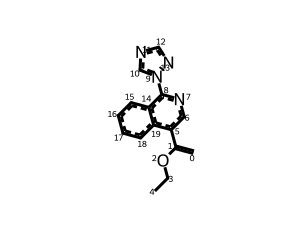 C=C(OCC)c1cnc(-n2cncn2)c2ccccc12